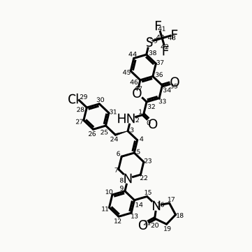 O=C(N[C@@H](C=C1CCN(c2ccccc2CN2CCCC2=O)CC1)Cc1ccc(Cl)cc1)c1cc(=O)c2cc(SC(F)(F)F)ccc2o1